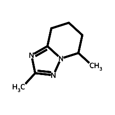 Cc1nc2n(n1)C(C)CCC2